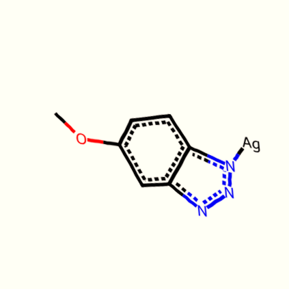 COc1ccc2c(c1)nn[n]2[Ag]